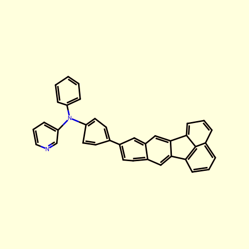 c1ccc(N(c2ccc(-c3ccc4cc5c(cc4c3)-c3cccc4cccc-5c34)cc2)c2cccnc2)cc1